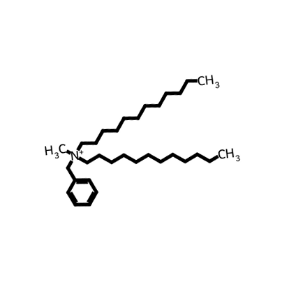 CCCCCCCCCCCC[N+](C)(CCCCCCCCCCCC)Cc1ccccc1